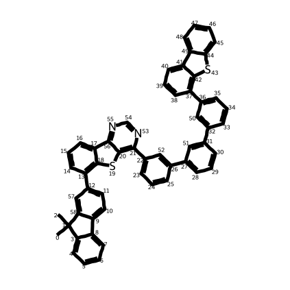 CC1(C)c2ccccc2-c2ccc(-c3cccc4c3sc3c(-c5cccc(-c6cccc(-c7cccc(-c8cccc9c8sc8ccccc89)c7)c6)c5)ncnc34)cc21